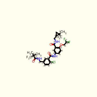 CC1(C)CC1CNC(=O)c1cc(NC(=O)c2cc(CNC(=O)C(C)(C)C(F)(F)F)ccc2Cl)ccc1OCC(F)F